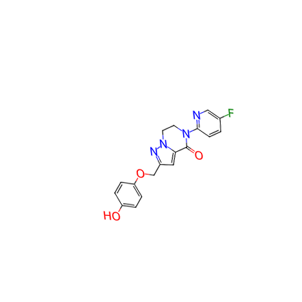 O=C1c2cc(COc3ccc(O)cc3)nn2CCN1c1ccc(F)cn1